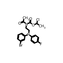 CC(=O)N(CCN(c1ccc(F)cc1)c1cccc(Br)c1)C(=O)OC(C)Cl